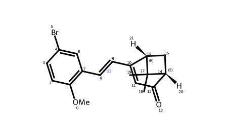 COc1ccc(Br)cc1/C=C/C1=CC(=O)[C@H]2C[C@@H]1C2(C)C